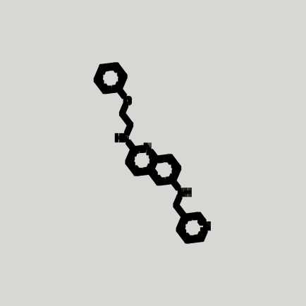 c1ccc(OCCNc2ccc3cc(NCc4cccnc4)ccc3n2)cc1